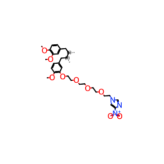 COc1ccc(C[C@H](C)[C@H](C)Cc2ccc(OC)c(OCCOCCOCCOCCn3cnc([N+](=O)[O-])c3)c2)cc1OC